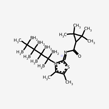 BC(B)(C)C(B)(B)C(B)(B)C(B)(B)n1c(C)c(C)s/c1=N\C(=O)C1C(C)(C)C1(C)C